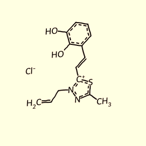 C=CCn1nc(C)s[c+]1C=Cc1cccc(O)c1O.[Cl-]